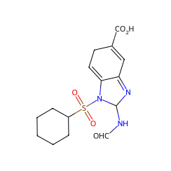 O=CNC1N=C2C=C(C(=O)O)CC=C2N1S(=O)(=O)C1CCCCC1